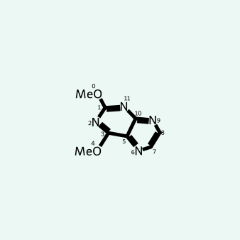 COc1nc(OC)c2nccnc2n1